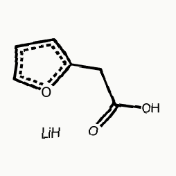 O=C(O)Cc1ccco1.[LiH]